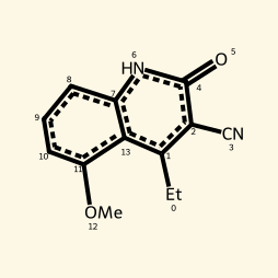 CCc1c(C#N)c(=O)[nH]c2cccc(OC)c12